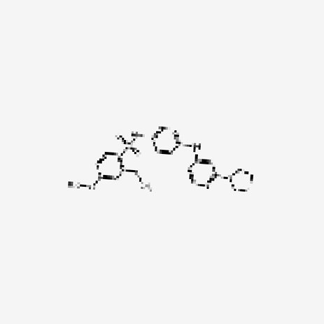 COc1ccc(S(=O)(=O)Nc2ccc(Nc3ccnc(N4CCCC4)n3)cc2)c(OC)c1